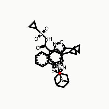 O=C(NS(=O)(=O)C1CC1)c1cc(C2CC2)c2nc(N3C4CC(NCc5c(-c6ccccc6C(F)(F)F)noc5C5CC5)CC3C4)sc2c1